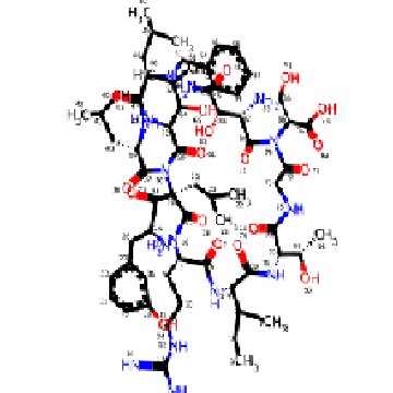 CCC(C)[C@H](NC(=O)[C@@H](CCCNC(=N)N)NC(=O)[C@@](CC(C)C)(C(=O)[C@@H](N)Cc1cccc(O)c1)N(C(=O)[C@H](CC(C)C)NC(=O)[C@@H](CC(C)C)NCc1ccccc1)C(=O)[C@@H](N)[C@H](O)C(C)C)C(=O)N[C@H](C(=O)NCC(=O)N(C(=O)[C@@H](N)[C@H](O)C(N)=O)[C@@H](CO)C(=O)O)[C@H](C)O